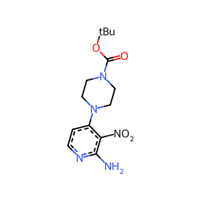 CC(C)(C)OC(=O)N1CCN(c2ccnc(N)c2[N+](=O)[O-])CC1